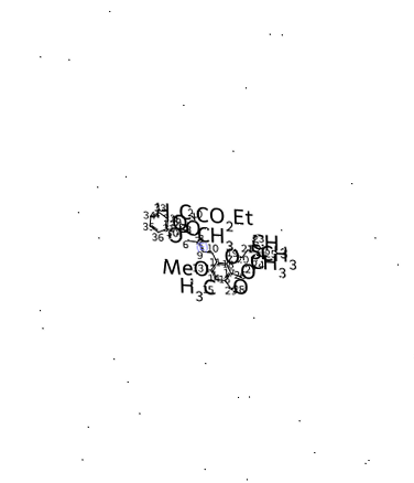 CCOC(=O)C(C)OP(=O)(C/C(C)=C/Cc1c(OC)c(C)c2c(c1OCC[Si](C)(C)C)C(=O)OC2)Oc1ccccc1